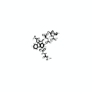 CCC(=O)C(CC(C)N(C)C)(c1ccccc1)c1ccccc1.Cl.O=C([O-])CCC(=O)[O-].O=C([O-])CCC(=O)[O-].O=C([O-])CCC(=O)[O-].[Al+3].[Al+3]